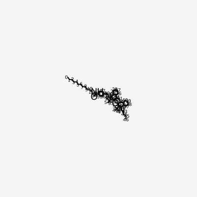 CCCCCCCCCCCCNC(=O)c1ccc(C[N+]2=c3c(c4c(c5ccccc35)=Cc3c(c5c(c6ccccc36)N(CCCC)CC5(C)C)O4)C(C)(C)C2)cc1